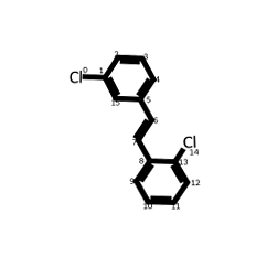 Clc1cccc(C=Cc2cc[c]cc2Cl)c1